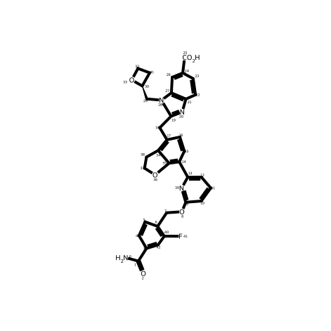 NC(=O)c1ccc(COc2cccc(-c3ccc(Cc4nc5ccc(C(=O)O)cc5n4C[C@@H]4CCO4)c4c3OCC4)n2)c(F)c1